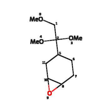 COCC(OC)(OC)C1CCC2OC2C1